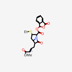 CCSC1CC2C(C/C=C/C(=O)OC)C(=O)N2C1C(=O)OC1OC(=O)c2ccccc21